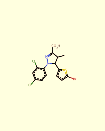 CC1C(C(=O)O)=NN(c2ccc(Cl)cc2Cl)C1c1ccc(Br)s1